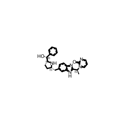 C[C@@H](c1nc2ccc(C[C@@H]3CC[C@H]([C@H](O)c4ccccc4)N3)cc2[nH]1)n1cccnc1=O